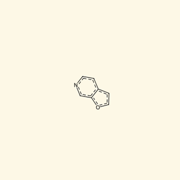 c1cc2ccoc2cn1